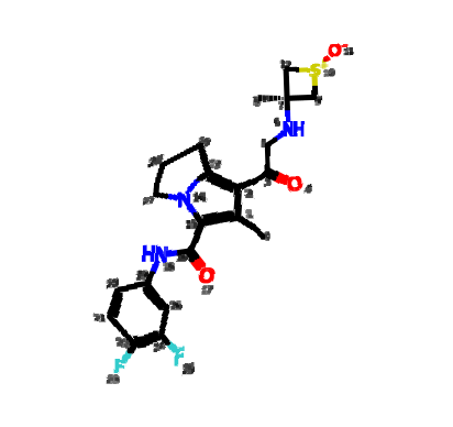 Cc1c(C(=O)CN[C@]2(C)C[S@+]([O-])C2)c2n(c1C(=O)Nc1ccc(F)c(F)c1)CCC2